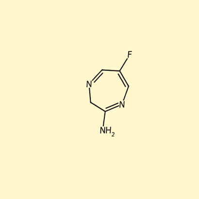 NC1=NC=C(F)C=NC1